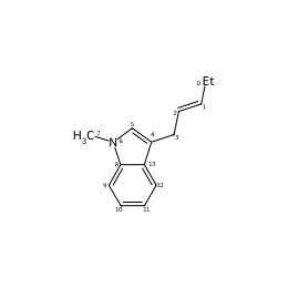 CCC=CCc1cn(C)c2ccccc12